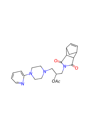 CC(=O)OC(CN1CCN(c2ccccn2)CC1)CN1C(=O)C2C3C=CC(C3)C2C1=O